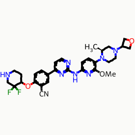 COc1nc(Nc2nccc(-c3ccc(OC4CCNCC4(F)F)c(C#N)c3)n2)ccc1N1CCN(C2COC2)C[C@@H]1C